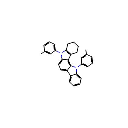 Cc1cccc(-n2c3c(c4c2ccc2c5ccccc5n(-c5cccc(C)c5)c24)CCCC3)c1